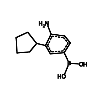 Nc1ccc(B(O)O)cc1C1CCCC1